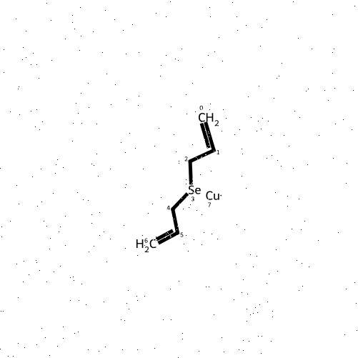 C=CC[Se]CC=C.[Cu]